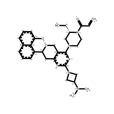 C=CC(=O)N1CCN(c2nc(N3CC(N(C)C)C3)nc3c2COC(c2cccc4cccc(Cl)c24)C3)C[C@@H]1CC#N